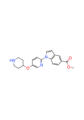 COC(=O)c1ccc2c(ccn2-c2ccc(OC3CCNCC3)cn2)c1